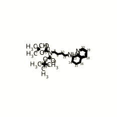 CC(C)(C)OC(=O)N(CCCCN[C@H]1CCCc2cccnc21)C(=O)OC(C)(C)C